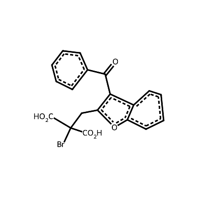 O=C(c1ccccc1)c1c(CC(Br)(C(=O)O)C(=O)O)oc2ccccc12